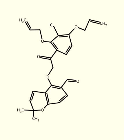 C=CCOc1ccc(C(=O)COc2c(C=O)ccc3c2C=CC(C)(C)O3)c(OCC=C)c1Cl